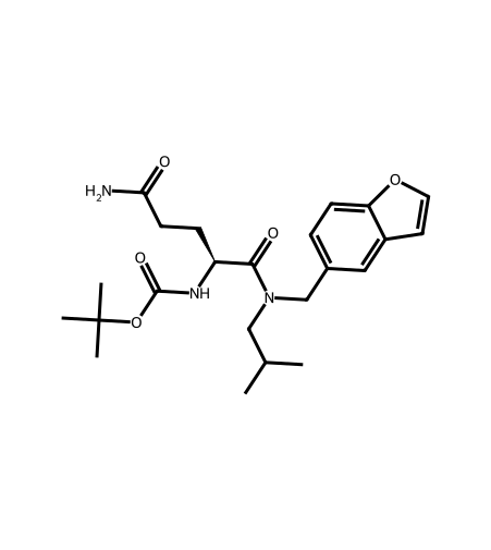 CC(C)CN(Cc1ccc2occc2c1)C(=O)[C@H](CCC(N)=O)NC(=O)OC(C)(C)C